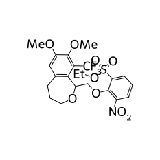 CCOS(=O)(=O)c1cccc([N+](=O)[O-])c1OCC1OCCCc2cc(OC)c(OC)c(C(F)(F)F)c21